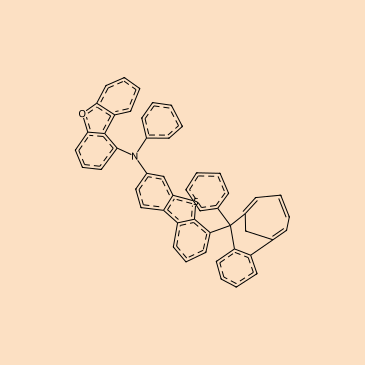 C1=CC=C2CC(=C1)c1ccccc1C2(c1ccccc1)c1cccc2c1sc1cc(N(c3ccccc3)c3cccc4oc5ccccc5c34)ccc12